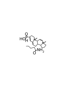 CCCCC(N)=O.C[C@]12CCC([PH](=O)O)=CC1=CCC1C2C=C[C@]2(C)CCCC12